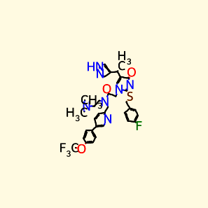 CC(c1cn[nH]c1)c1cn(CC(=O)N(CCN(C)C)Cc2ccc(-c3ccc(OC(F)(F)F)cc3)cn2)c(SCc2ccc(F)cc2)nc1=O